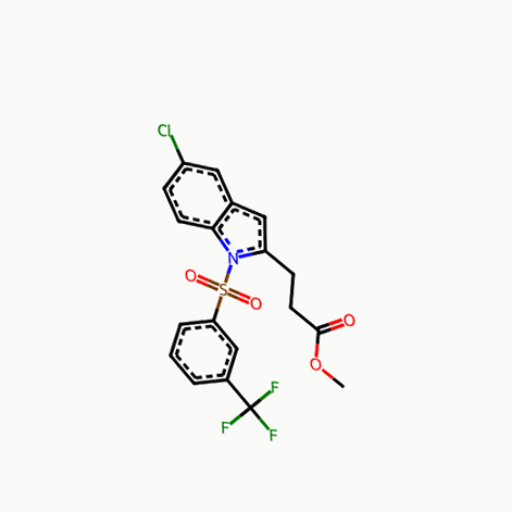 COC(=O)CCc1cc2cc(Cl)ccc2n1S(=O)(=O)c1cccc(C(F)(F)F)c1